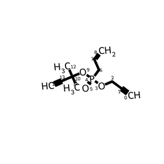 C#CCOP(=O)(CC=C)OC(C)(C)C#C